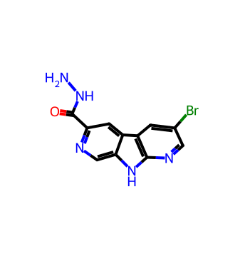 NNC(=O)c1cc2c(cn1)[nH]c1ncc(Br)cc12